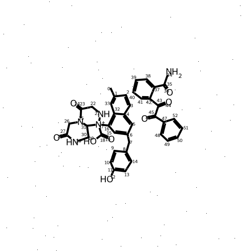 Cc1ccc2cc(Cc3ccc(O)cc3)cc([N+]3(C(=O)O)NCC(=O)N4CC(=O)NCC43)c2c1.NC(=O)c1ccccc1C(=O)C(=O)c1ccccc1